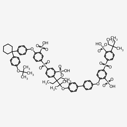 CCC(C)(CC)c1ccc(S(=O)(=O)c2ccc(Oc3ccc(-c4ccc(OC(C)(C)C(CC)(CC)c5ccc(S(=O)(=O)c6ccc(Oc7ccc(C8(c9ccc(OC(C)(C)C)cc9)CCCCC8)cc7)c(S(=O)(=O)O)c6)cc5S(=O)(=O)O)cc4)cc3)c(S(=O)(=O)O)c2)cc1S(=O)(=O)O